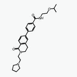 CC(C)OCCNC(=O)c1ccc(-c2ccc3c(c2)CCN(CCN2CCCC2)C3=O)cc1